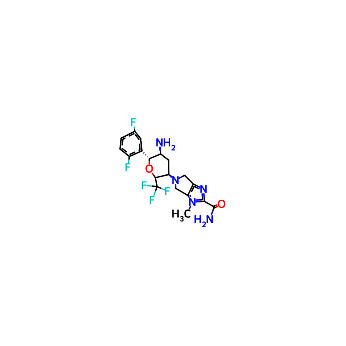 Cn1c(C(N)=O)nc2c1CN([C@@H]1C[C@H](N)[C@@H](c3cc(F)ccc3F)OC1C(F)(F)F)C2